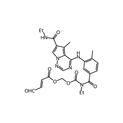 CCNC(=O)c1cn2ncnc(Nc3cc(C(=O)N(CC)C(=O)OCOC(=O)/C=C/C=O)ccc3C)c2c1C